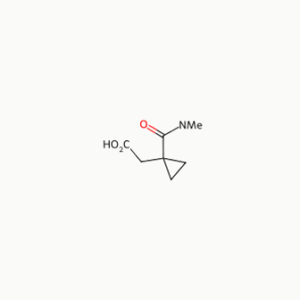 CNC(=O)C1(CC(=O)O)CC1